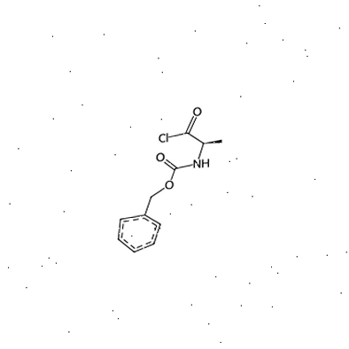 C[C@@H](NC(=O)OCc1ccccc1)C(=O)Cl